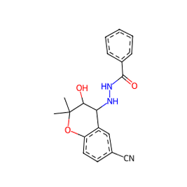 CC1(C)Oc2ccc(C#N)cc2C(NNC(=O)c2ccccc2)C1O